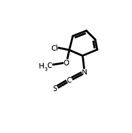 COC1(Cl)C=CC=CC1N=C=S